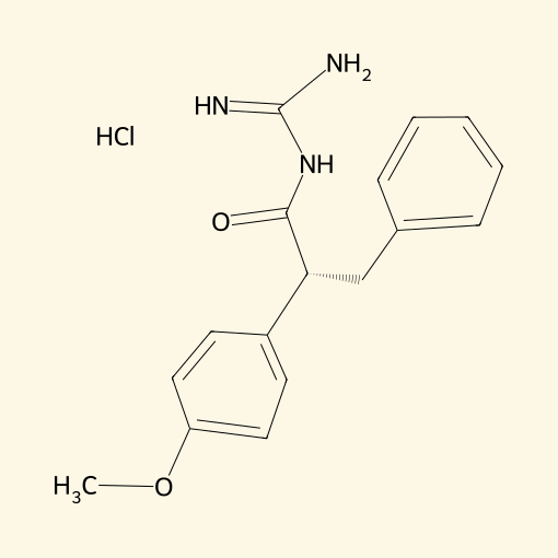 COc1ccc([C@@H](Cc2ccccc2)C(=O)NC(=N)N)cc1.Cl